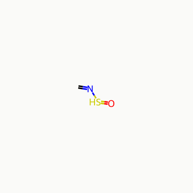 C=N[SH]=O